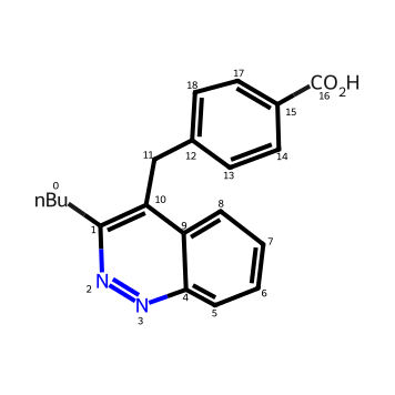 CCCCc1nnc2ccccc2c1Cc1ccc(C(=O)O)cc1